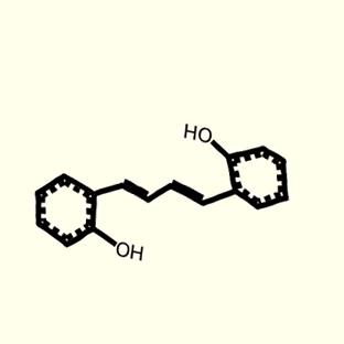 Oc1ccccc1C=CC=Cc1ccccc1O